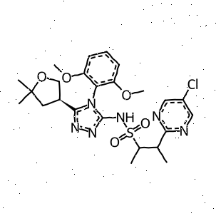 COc1cccc(OC)c1-n1c(NS(=O)(=O)C(C)C(C)c2ncc(Cl)cn2)nnc1[C@@H]1COC(C)(C)C1